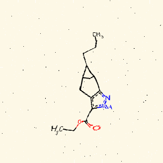 CCCC1C2Cc3c(n[nH]c3C(=O)OCC)C12